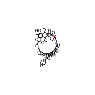 CO[C@H]1/C=C/O[C@@]2(C)Oc3c(C)c(O)c4c(c3C2=O)C(=O)C(N2CCOCC2)=C(NC(=O)/C(C)=C\C=C\[C@H](C)[C@H](O)[C@@H](C)[C@@H](O)[C@@H](C)[C@H](OC(=O)N2CCN(C)CC2)[C@@H]1C)C4=O